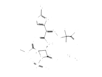 COC(=O)[C@H]1[C@@H](NC(=O)C(=NOC(C)(C)C(=O)[O-])c2csc(N)n2)C(=O)N1S(=O)(=O)[O-].[Na+].[Na+]